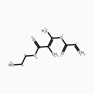 C=CC(=O)OC(C)=C(C)C(=O)OCCO